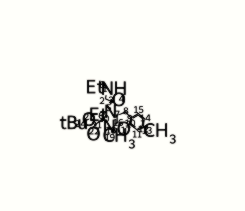 CCNCC(=O)N(CC)[C@@H](Cc1ccc(C)cc1)C(=O)N(C)CC(=O)OC(C)(C)C